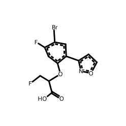 O=C(O)C(CF)Oc1cc(F)c(Br)cc1-c1ccon1